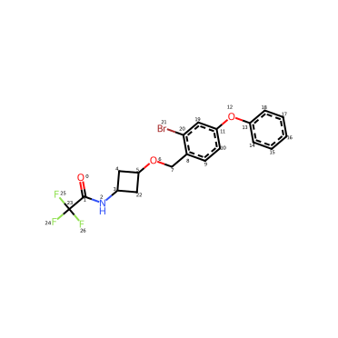 O=C(NC1CC(OCc2ccc(Oc3ccccc3)cc2Br)C1)C(F)(F)F